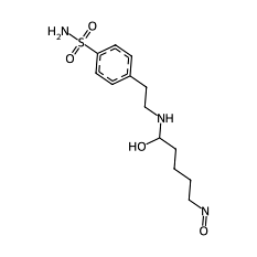 NS(=O)(=O)c1ccc(CCNC(O)CCCCN=O)cc1